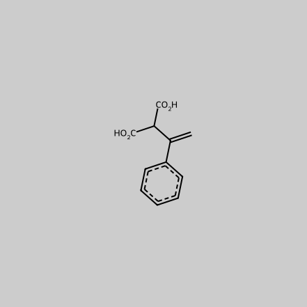 C=C(c1ccccc1)C(C(=O)O)C(=O)O